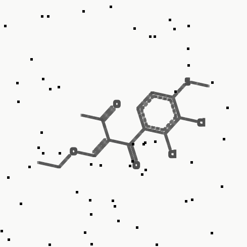 CCOC=C(C(C)=O)C(=O)c1ccc(SC)c(Cl)c1Cl